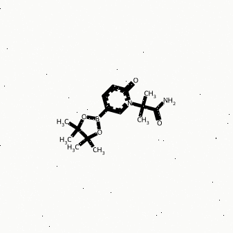 CC(C)(C(N)=O)n1cc(B2OC(C)(C)C(C)(C)O2)ccc1=O